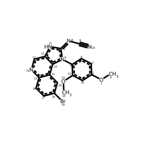 COc1ccc(-n2/c(=N\C#N)[nH]c3cnc4ccc(Br)cc4c32)c(OC)c1